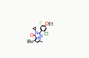 CCOc1cc(Cl)c(-c2nn3c(C)cc(C(C)CC)c3c(=O)n2C2CC2)cc1F